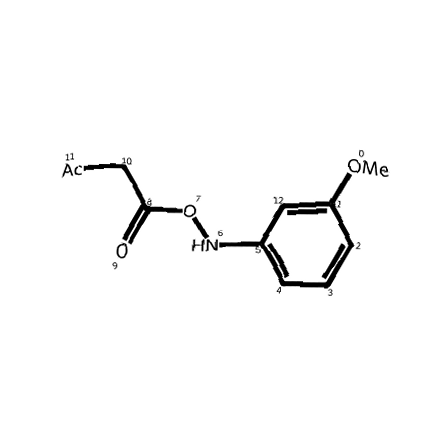 COc1cccc(NOC(=O)CC(C)=O)c1